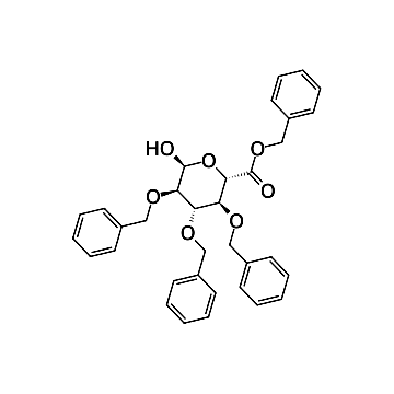 O=C(OCc1ccccc1)[C@H]1O[C@H](O)[C@H](OCc2ccccc2)[C@@H](OCc2ccccc2)[C@@H]1OCc1ccccc1